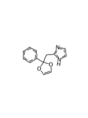 C1=COC(Cc2ncc[nH]2)(c2ccccc2)O1